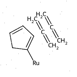 C=C=C.C=C=C.[Ru][C]1=CC=CC1